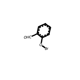 O=Cc1ccccc1OBr